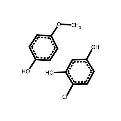 COc1ccc(O)cc1.Oc1ccc(Cl)c(O)c1